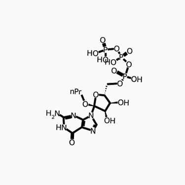 CCCO[C@@]1(n2cnc3c(=O)[nH]c(N)nc32)O[C@H](COP(=O)(O)OP(=O)(O)OP(=O)(O)O)[C@@H](O)[C@H]1O